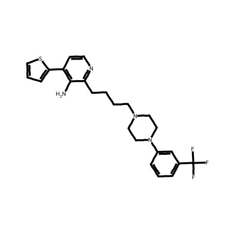 Nc1c(-c2cccs2)ccnc1CCCCN1CCN(c2cccc(C(F)(F)F)c2)CC1